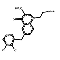 CC(=O)NCCn1cc(C(=O)O)c(=O)c2cc(Cc3cccc(Cl)c3Cl)ccc21